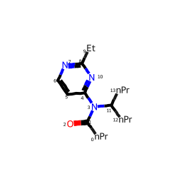 CCCC(=O)N(c1ccnc(CC)n1)C(CCC)CCC